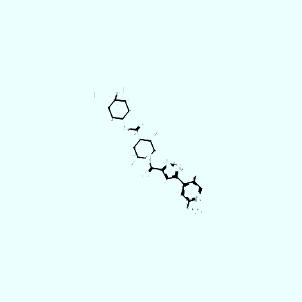 COc1cc(-c2cc(C(=O)N3C[C@H](C)[C@H](C(=O)N[C@H]4CC[C@@](O)(C(F)(F)F)CC4)C[C@@H]3C)n[nH]2)c(F)cn1